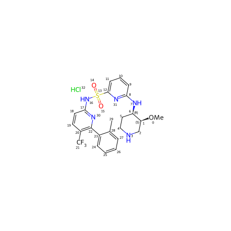 CO[C@H]1CNCC[C@H]1Nc1cccc(S(=O)(=O)Nc2ccc(C(F)(F)F)c(-c3ccccc3C)n2)n1.Cl